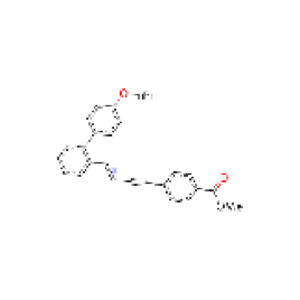 CCCOc1ccc(-c2ccccc2/C=C/C#Cc2ccc(C(=O)OC)cc2)cc1